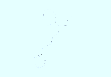 ClCCN(CCOCc1ccccc1)C1CCCCC1